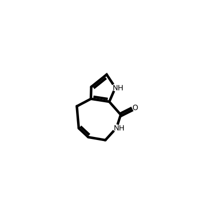 O=C1NCC=CCc2cc[nH]c21